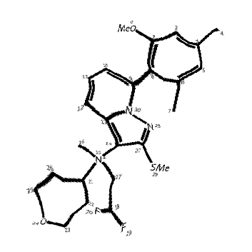 COc1cc(C)cc(C)c1-c1cccc2c([N+](C)(CC(F)F)C3CCOCC3)c(SC)nn12